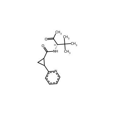 CC(=O)[C@@H](NC(=O)C1CC1c1ccccn1)C(C)(C)C